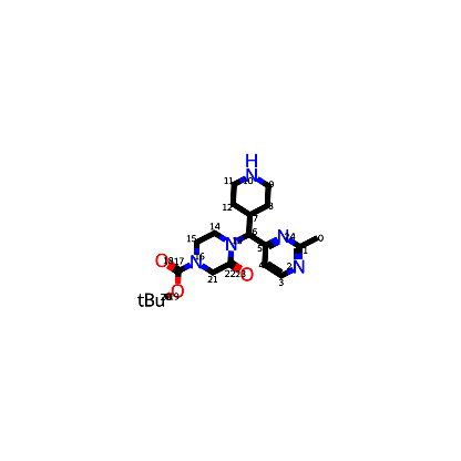 Cc1nccc(C(C2CCNCC2)N2CCN(C(=O)OC(C)(C)C)CC2=O)n1